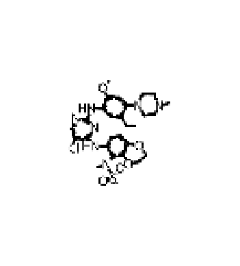 CCc1cc(Nc2ncc(Cl)c(Nc3ccc4c(c3N(C)S(C)(=O)=O)OCCO4)n2)c(OC)cc1N1CCN(C)CC1